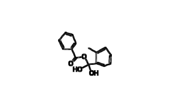 Cc1ccccc1C(O)(O)OC(=O)c1ccccc1